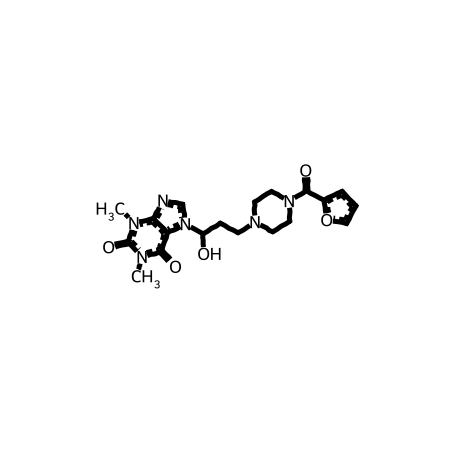 Cn1c(=O)c2c(ncn2C(O)CCN2CCN(C(=O)c3ccco3)CC2)n(C)c1=O